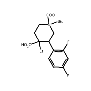 CCC1(C(=O)O)CC[N+](C(=O)[O-])(C(C)(C)C)CC1c1ccc(F)cc1F